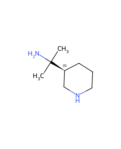 CC(C)(N)[C@H]1CCCNC1